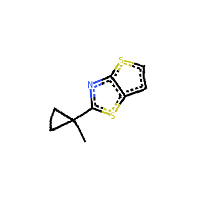 CC1(c2nc3sccc3s2)CC1